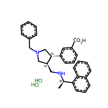 C[C@@H](NC[C@H]1CN(Cc2ccccc2)C[C@@H]1c1cccc(C(=O)O)c1)c1cccc2ccccc12.Cl.Cl